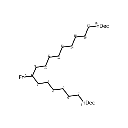 [CH2]CC(CCCCCCCCCCCCCCCC)CCCCCCCCCCCCCCCCCCC